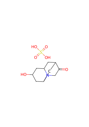 O=C1CN2C3CC(O)CC2CC1C3.O=S(=O)(O)O